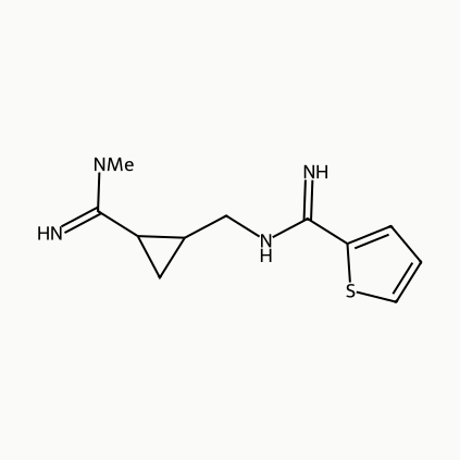 CNC(=N)C1CC1CNC(=N)c1cccs1